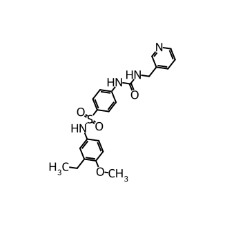 CCc1cc(NS(=O)(=O)c2ccc(NC(=O)NCc3cccnc3)cc2)ccc1OC